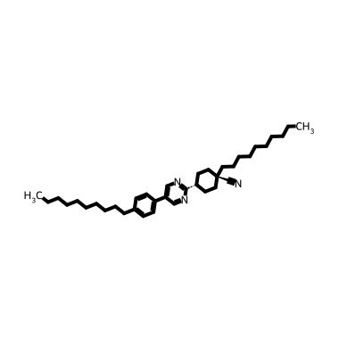 CCCCCCCCCCc1ccc(-c2cnc([C@H]3CC[C@@](C#N)(CCCCCCCCCC)CC3)nc2)cc1